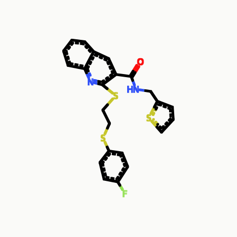 O=C(NCc1cccs1)c1cc2ccccc2nc1SCCSc1ccc(F)cc1